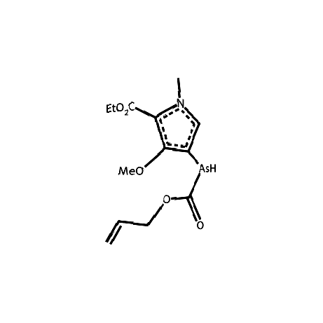 C=CCOC(=O)[AsH]c1cn(C)c(C(=O)OCC)c1OC